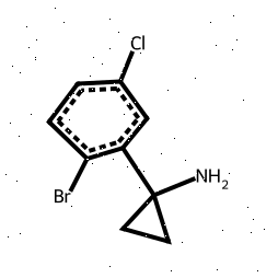 NC1(c2cc(Cl)ccc2Br)CC1